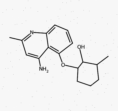 Cc1cc(N)c2c(OC3CCCC(C)C3O)cccc2n1